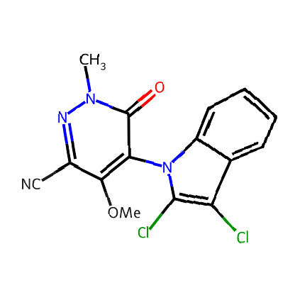 COc1c(C#N)nn(C)c(=O)c1-n1c(Cl)c(Cl)c2ccccc21